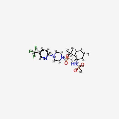 C[C@H]1CC[C@](CS(=O)(=O)N2CCN(c3ccc(C(F)(F)F)cn3)CC2)(C(C)(C)C)C(NS(C)(=O)=O)C1